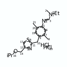 CCN(C)C=Nc1cc(C)c(Cc2nc(COC(C)C)cs2)cc1C.Cl.Cl